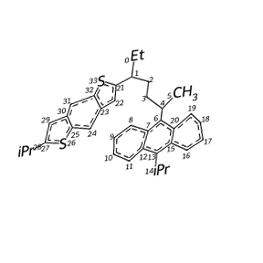 CCC(CCC(C)c1c2ccccc2c(C(C)C)c2ccccc12)c1cc2cc3sc(C(C)C)cc3cc2s1